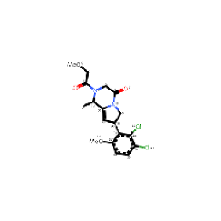 COCC(=O)N1CC(=O)N2C[C@@H](c3c(OC)ccc(Cl)c3Cl)C=C2C1C